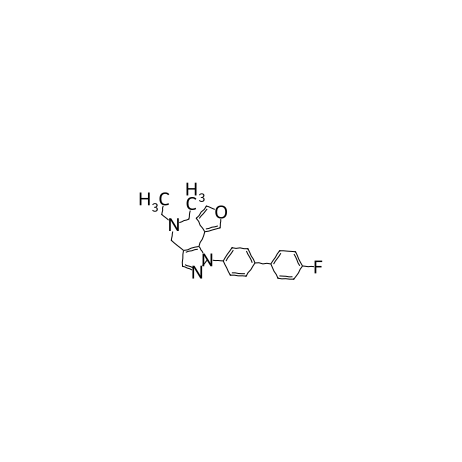 CCN(CC)Cc1cnn(-c2ccc(-c3ccc(F)cc3)cc2)c1-c1ccoc1